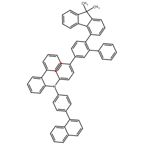 CC1(C)c2ccccc2-c2c(-c3ccc(-c4ccc(N(c5ccc(-c6cccc7ccccc67)cc5)c5ccccc5-c5ccccc5)cc4)cc3-c3ccccc3)cccc21